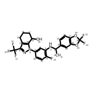 CC(Nc1cc(-n2nc(C(F)(F)F)c3c2C(O)CCC3)ccc1F)c1ccc2c(c1)OC(F)(F)O2